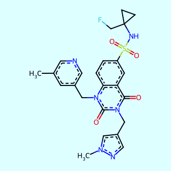 Cc1cncc(Cn2c(=O)n(Cc3cnn(C)c3)c(=O)c3cc(S(=O)(=O)NC4(CF)CC4)ccc32)c1